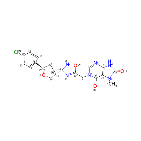 Cn1c(=O)[nH]c2ncn(Cc3nc([C@@H]4CO[C@@H](c5ccc(Cl)cc5)C4)no3)c(=O)c21